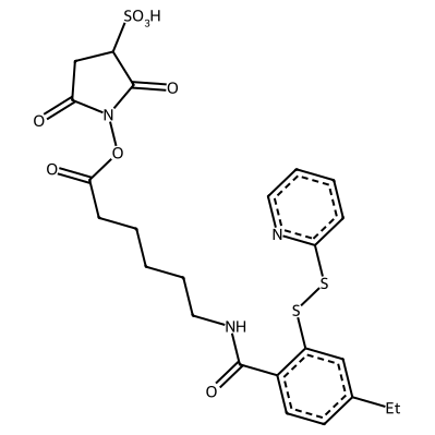 CCc1ccc(C(=O)NCCCCCC(=O)ON2C(=O)CC(S(=O)(=O)O)C2=O)c(SSc2ccccn2)c1